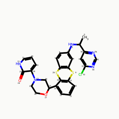 CC(Nc1ccc2c(c1)Sc1cccc(C3CN(c4ccc[nH]c4=O)CCO3)c1S2)c1cc(Cl)ncn1